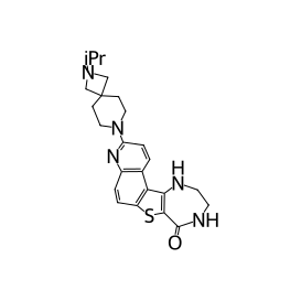 CC(C)N1CC2(CCN(c3ccc4c(ccc5sc6c(c54)NCCNC6=O)n3)CC2)C1